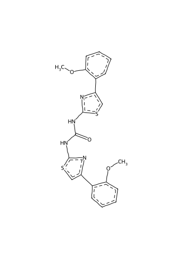 COc1ccccc1-c1csc(NC(=O)Nc2nc(-c3ccccc3OC)cs2)n1